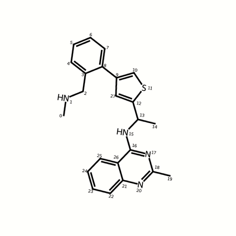 CNCc1ccccc1-c1csc(C(C)Nc2nc(C)nc3ccccc23)c1